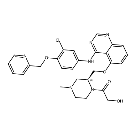 CN1CCN(C(=O)CO)[C@H](COc2cccc3ncnc(Nc4ccc(OCc5ccccn5)c(Cl)c4)c23)C1